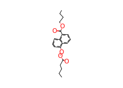 CCCCOC(=O)c1cccc2c(OOC(=O)CCCC)cccc12